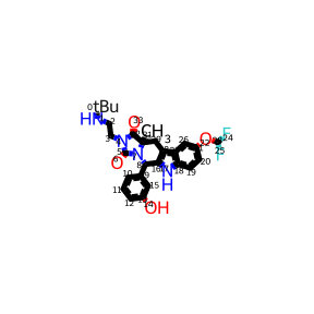 CC(C)(C)NCCN1C(=O)N2C(c3cccc(O)c3)c3[nH]c4ccc(OC(F)F)cc4c3CC2(C)C1=O